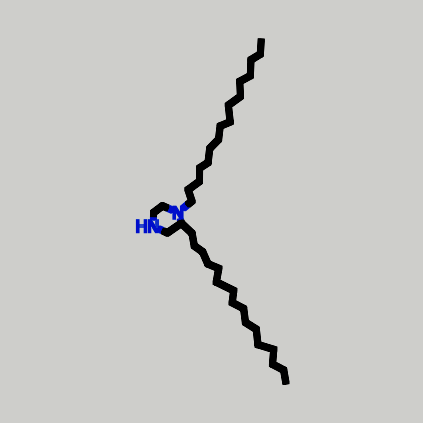 CCCCCCCCCCCCCCCCC1CNCCN1CCCCCCCCCCCCCCCC